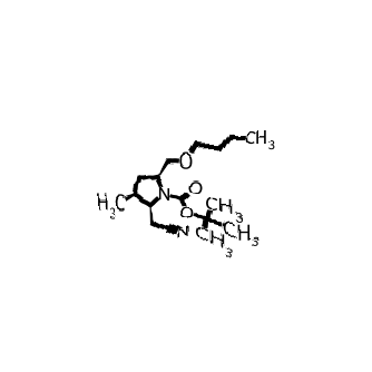 CCCCOC[C@@H]1C[C@H](C)[C@H](CC#N)N1C(=O)OC(C)(C)C